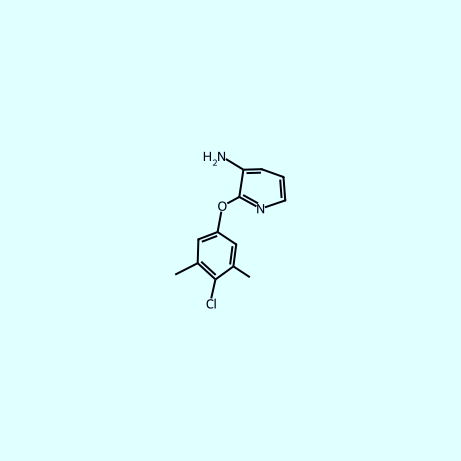 Cc1cc(Oc2ncccc2N)cc(C)c1Cl